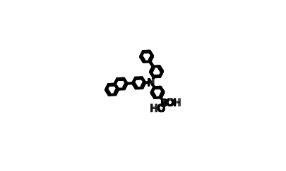 OB(O)c1ccc(N(c2ccc(-c3ccc4ccccc4c3)cc2)c2cccc(-c3ccccc3)c2)cc1